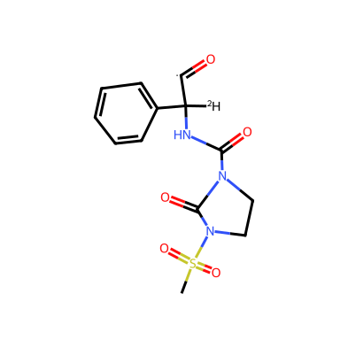 [2H]C([C]=O)(NC(=O)N1CCN(S(C)(=O)=O)C1=O)c1ccccc1